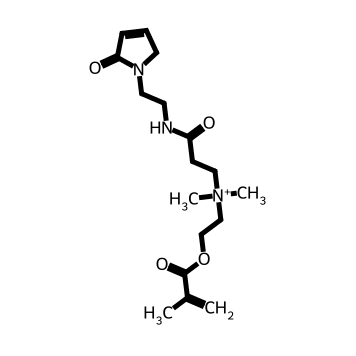 C=C(C)C(=O)OCC[N+](C)(C)CCC(=O)NCCN1CC=CC1=O